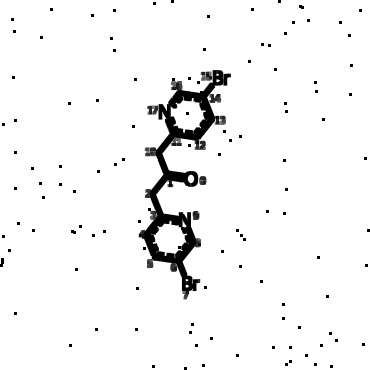 O=C(Cc1ccc(Br)cn1)Cc1ccc(Br)cn1